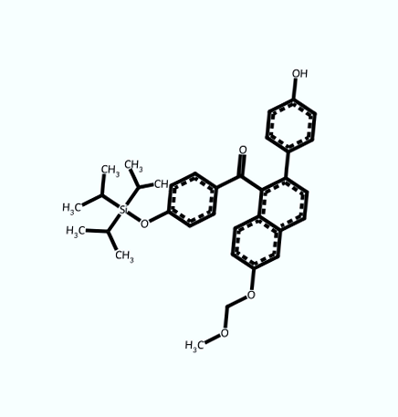 COCOc1ccc2c(C(=O)c3ccc(O[Si](C(C)C)(C(C)C)C(C)C)cc3)c(-c3ccc(O)cc3)ccc2c1